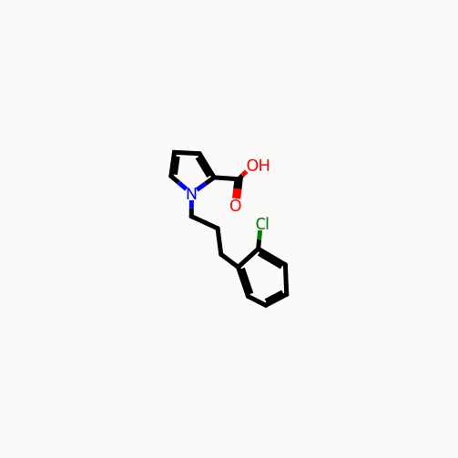 O=C(O)c1cccn1CCCc1ccccc1Cl